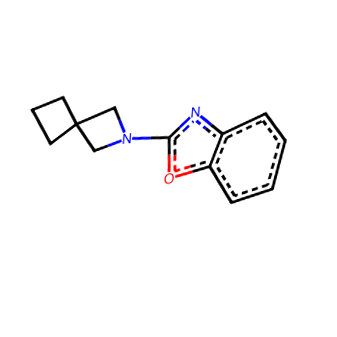 c1ccc2oc(N3CC4(CCC4)C3)nc2c1